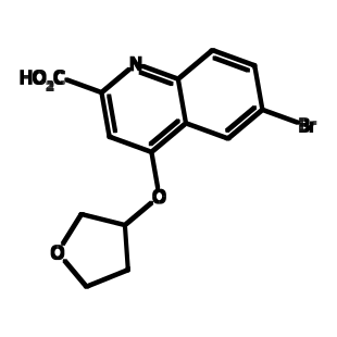 O=C(O)c1cc(OC2CCOC2)c2cc(Br)ccc2n1